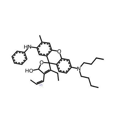 C/C=C\C1=C(CC)C2(OC1O)c1ccc(N(CCCC)CCCC)cc1Oc1cc(C)c(Nc3ccccc3)cc12